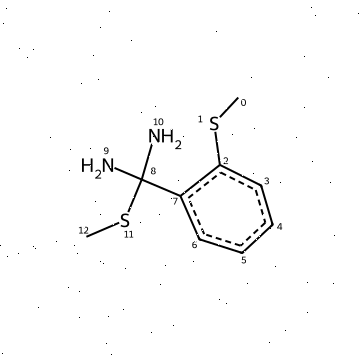 CSc1ccccc1C(N)(N)SC